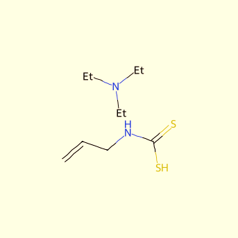 C=CCNC(=S)S.CCN(CC)CC